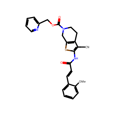 COc1ccccc1C=CC(=O)Nc1sc2c(c1C#N)CCN(C(=O)OCc1ccccn1)C2